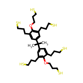 CC(C)(c1cc(CCCS)c(OCCCS)c(CCCS)c1)c1cc(CCCS)c(OCCCS)c(CCCS)c1